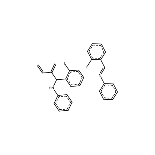 C=CC(=C)C(Nc1ccccc1)c1ccccc1I.Ic1ccccc1/C=N/c1ccccc1